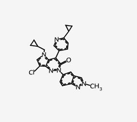 Cn1cc2cc(-n3nc4c(Cl)cn(CC5CC5)c4c(-c4ccc(C5CC5)nc4)c3=O)ccc2n1